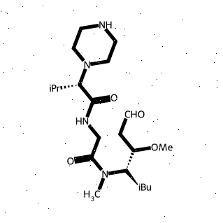 CC[C@H](C)[C@@H](C(CC=O)OC)N(C)C(=O)CNC(=O)[C@H](C(C)C)N1CCNCC1